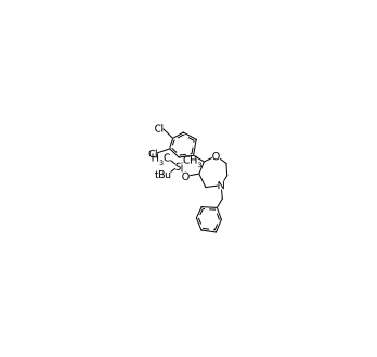 CC(C)(C)[Si](C)(C)OC1CN(Cc2ccccc2)CCOC1c1ccc(Cl)c(Cl)c1